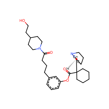 O=C(CCCc1cccc(OC(=O)C2([C@@H]3CN4CCC3CC4)CCCCC2)c1)N1CCC(CCO)CC1